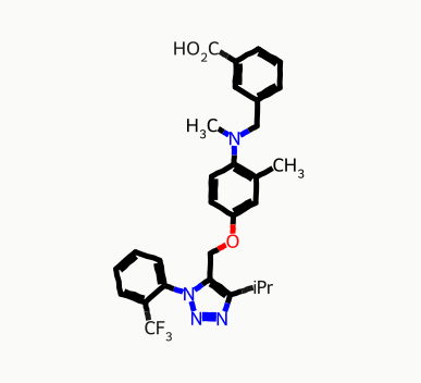 Cc1cc(OCc2c(C(C)C)nnn2-c2ccccc2C(F)(F)F)ccc1N(C)Cc1cccc(C(=O)O)c1